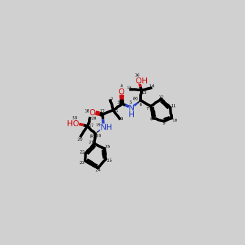 CC(C)(C(=O)N[C@H](c1ccccc1)C(C)(C)O)C(=O)N[C@H](c1ccccc1)C(C)(C)O